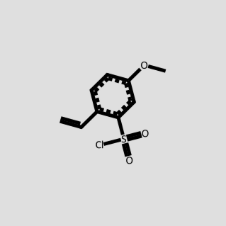 C=Cc1ccc(OC)cc1S(=O)(=O)Cl